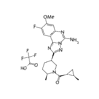 COc1cc2nc(N)n3nc([C@@H]4CC[C@H](C)N(C(=O)[C@H]5C[C@H]5C)C4)nc3c2cc1F.O=C(O)C(F)(F)F